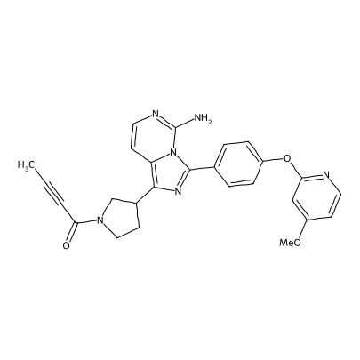 CC#CC(=O)N1CCC(c2nc(-c3ccc(Oc4cc(OC)ccn4)cc3)n3c(N)nccc23)C1